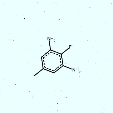 [CH2]c1cc(N)c(F)c(N)c1